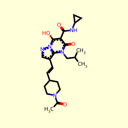 CC(=O)N1CCC(C=Cc2cnn3c(O)c(C(=O)NC4CC4)c(=O)n(CC(C)C)c23)CC1